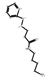 NCCCCNC(=O)CCSSc1ccccn1